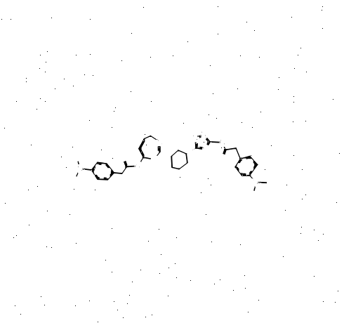 CN(C)c1ccc(CC(=O)NC2=C=CCN=C([C@H]3CCC[C@H](c4nnc(NC(=O)Cc5ccc(N(C)C)cc5)s4)C3)S2)cc1